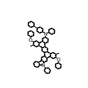 Cc1cc2c(cc1Oc1ccccc1)c1cc(N(c3ccccc3)c3ccc(-c4ccccc4)cc3)ccc1c1cc3c4cc(C)c(Oc5ccccc5)cc4c4cc5c(cc4c3cc21)c1ccccc1n5-c1ccccc1